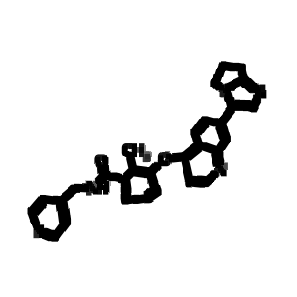 Cc1c(Oc2ccnc3cc(-c4cnc5n4CCC5)ccc23)cccc1C(=O)NCc1ccncc1